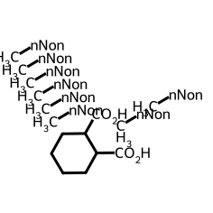 CCCCCCCCCC.CCCCCCCCCC.CCCCCCCCCC.CCCCCCCCCC.CCCCCCCCCC.CCCCCCCCCC.CCCCCCCCCC.CCCCCCCCCC.O=C(O)C1CCCCC1C(=O)O